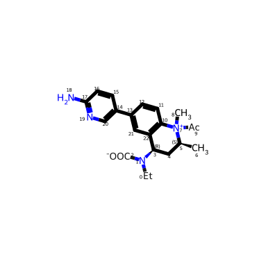 CCN(C(=O)[O-])[C@@H]1C[C@H](C)[N+](C)(C(C)=O)c2ccc(-c3ccc(N)nc3)cc21